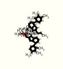 CCCC1=Cc2c(-c3ccc(C)c(C)c3C)cccc2[CH]1[Zr]([Cl])([Cl])([BH]N([Si](C)(C)C)[Si](C)(C)C)[CH]1C(CCC)=Cc2c(-c3ccc(C)c(C)c3C)cccc21